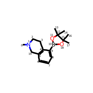 CN1CCc2c(cccc2B2OC(C)(C)C(C)(C)O2)C1